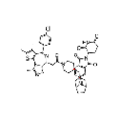 Cc1sc2c(c1C)C(c1ccc(Cl)cc1)=N[C@@H](CC(=O)N1CCC(CN3CC4CCC(C3)N4c3ccc4c(c3)C(=O)N(C3CCC(=O)NC3=O)C4=O)CC1)c1nnc(C)n1-2